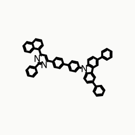 c1ccc(-c2ccc3c(c2)c2cc(-c4ccccc4)ccc2n3-c2ccc(-c3ccc(-c4cc(-c5cccc6ccccc56)nc(-c5ccccc5)n4)cc3)cc2)cc1